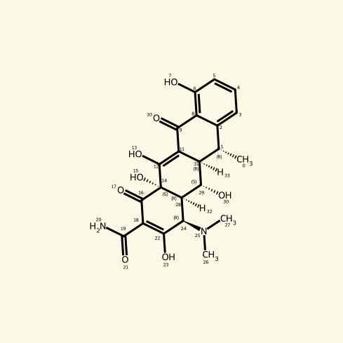 C[C@H]1c2cccc(O)c2C(=O)C2=C(O)[C@]3(O)C(=O)C(C(N)=O)=C(O)[C@H](N(C)C)[C@@H]3[C@@H](O)[C@@H]21